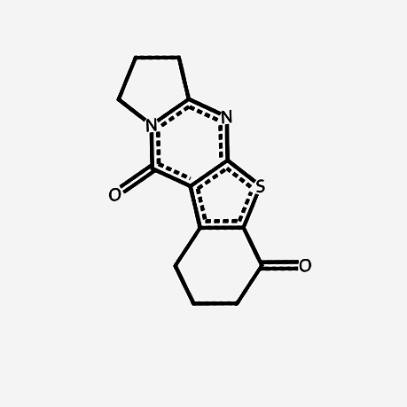 O=C1CCCc2c1sc1nc3n(c(=O)c21)CCC3